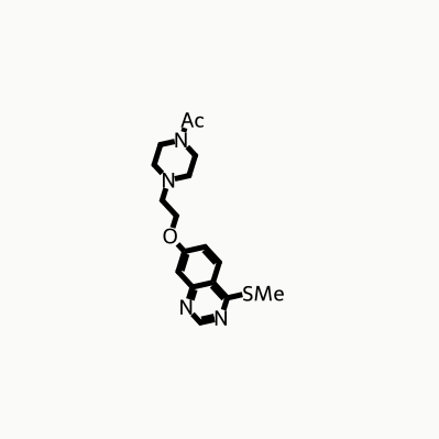 CSc1ncnc2cc(OCCN3CCN(C(C)=O)CC3)ccc12